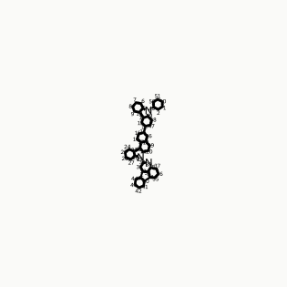 c1ccc(-n2c3ccccc3c3cc(-c4ccc5c(ccc6c5c5ccccc5n6-c5cc6c7c(cccc7n5)-c5ccccc5-6)c4)ccc32)cc1